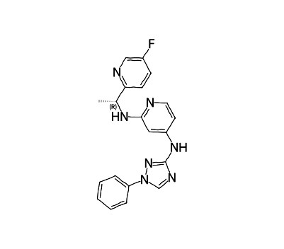 C[C@@H](Nc1cc(Nc2ncn(-c3ccccc3)n2)ccn1)c1ccc(F)cn1